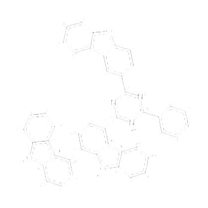 c1ccc(-c2nc(-c3ccc4oc5ccccc5c4c3)nc(-c3ccc(-c4cccc5oc6ccccc6c45)c4oc5ccccc5c34)n2)cc1